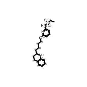 CCS(=O)(=O)Nc1cccc(OCCCCC2CCc3ccccc3N2)n1